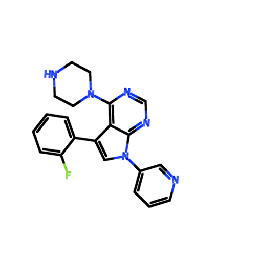 Fc1ccccc1-c1cn(-c2cccnc2)c2ncnc(N3CCNCC3)c12